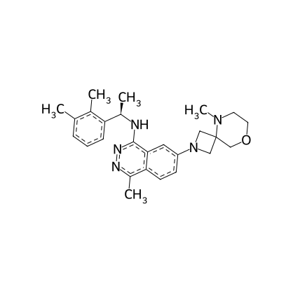 Cc1cccc([C@@H](C)Nc2nnc(C)c3ccc(N4CC5(COCCN5C)C4)cc23)c1C